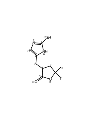 CC1(C)CC(Cc2nnc(S)[nH]2)C(=O)O1